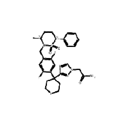 C[C@H]1CC[C@H](c2ccccc2)S(=O)(=O)N1Cc1cc(F)c(C2(c3ncn(CC(N)=O)n3)CCOCC2)cc1F